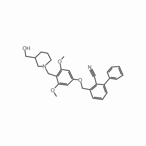 COc1cc(OCc2cccc(-c3ccccc3)c2C#N)cc(OC)c1CN1CCCC(CO)C1